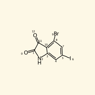 O=C1Nc2cc(I)cc(Br)c2C1=O